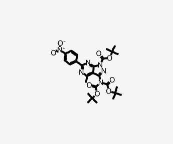 Cc1nc(-c2ccc([N+](=O)[O-])cc2)nc2c1c(N(C(=O)OC(C)(C)C)C(=O)OC(C)(C)C)nn2C(=O)OC(C)(C)C